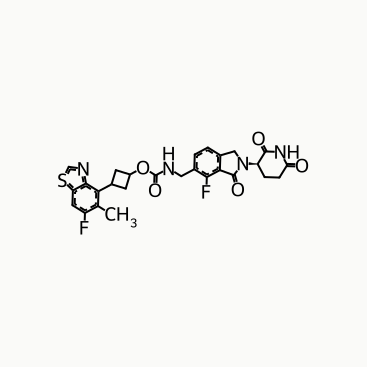 Cc1c(F)cc2scnc2c1C1CC(OC(=O)NCc2ccc3c(c2F)C(=O)N([C@@H]2CCC(=O)NC2=O)C3)C1